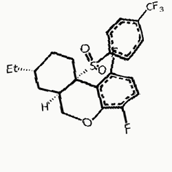 CC[C@@H]1CC[C@@]2(S(=O)(=O)c3ccc(C(F)(F)F)cc3)c3c(F)ccc(F)c3OC[C@H]2C1